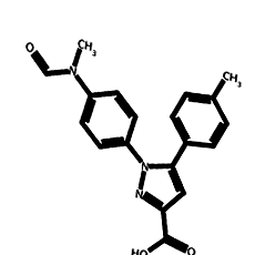 Cc1ccc(-c2cc(C(=O)O)nn2-c2ccc(N(C)C=O)cc2)cc1